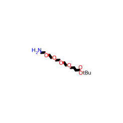 CC(C)(C)OC(=O)CCCOCCOCCOCCOCCN